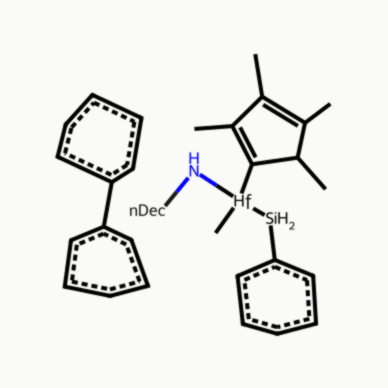 CCCCCCCCCC[NH][Hf]([CH3])([SiH2]c1ccccc1)[C]1=C(C)C(C)=C(C)C1C.c1ccc(-c2ccccc2)cc1